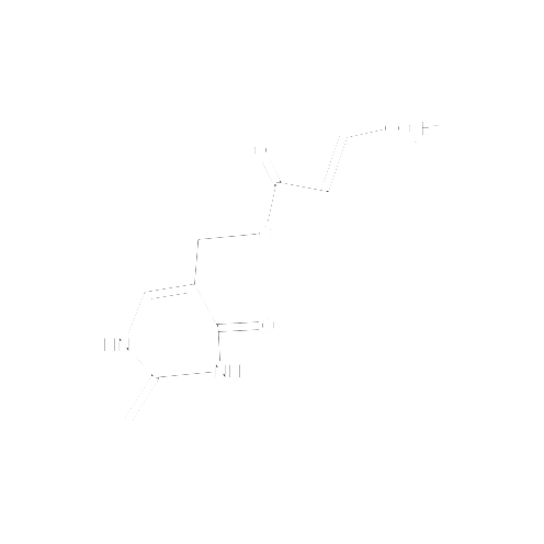 C=C1NC=C(COC(=O)/C=C/C(=O)OCC)C(=O)N1